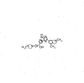 Cc1cc(-c2cnc(N)c(-n3cc(C(O)N4CC(N5CCN(C)CC5)C4)cn3)n2)cc2c1CCN(C)C2